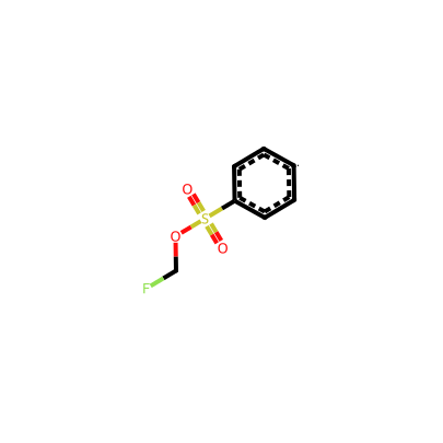 O=S(=O)(OCF)c1cc[c]cc1